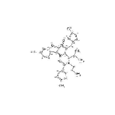 Cc1ccc(C(=O)N(CCN)C(c2nc3c(oc4cc(F)ccc43)c(=O)n2Cc2ccc(Cl)s2)C(C)C)cc1